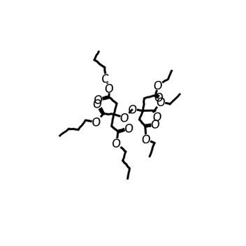 CCCCOC(=O)CC(CC(=O)OCCCC)(OOC(CC(=O)OCC)(CC(=O)OCC)C(=O)OCC)C(=O)OCCCC